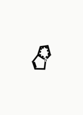 [C]1=CCn2[c]ccc21